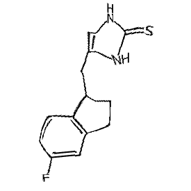 Fc1ccc2c(c1)CCC2Cc1c[nH]c(=S)[nH]1